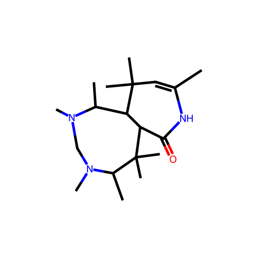 CC1=CC(C)(C)C2C(C)N(C)CN(C)C(C)C(C)(C)C2C(=O)N1